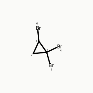 BrC1CC1(Br)Br